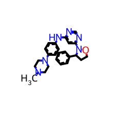 CN1CCN(c2ccc(Nc3cc(N4OCCC4c4ccccc4)ncn3)cc2)CC1